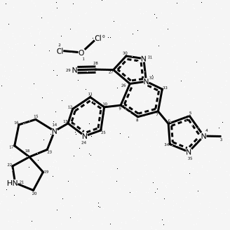 ClOCl.Cn1cc(-c2cc(-c3ccc(N4CCCC5(CCNC5)C4)nc3)c3c(C#N)cnn3c2)cn1